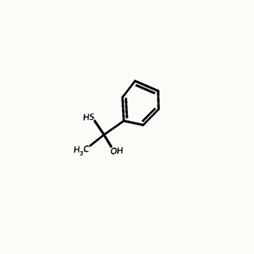 CC(O)(S)c1ccccc1